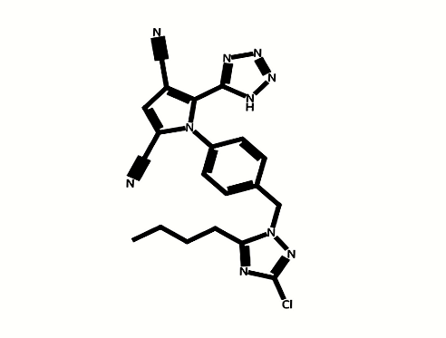 CCCCc1nc(Cl)nn1Cc1ccc(-n2c(C#N)cc(C#N)c2-c2nnn[nH]2)cc1